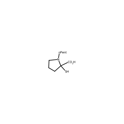 CCCCCN1CCCC1(S)C(=O)O